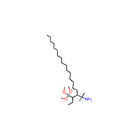 CCCCCCCCCCCCCCCCC(C(CC)[Si](OC)(OC)OC)C(C)(C)N